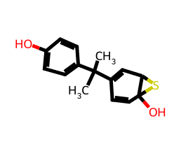 CC(C)(C1=CC2SC2(O)C=C1)c1ccc(O)cc1